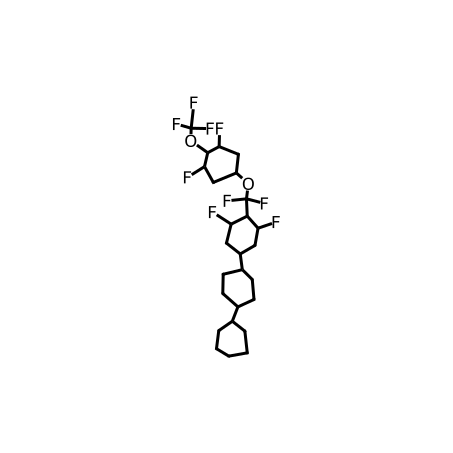 FC1CC(OC(F)(F)C2C(F)CC(C3CCC(C4CCCCC4)CC3)CC2F)CC(F)C1OC(F)(F)F